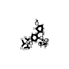 COc1ccc(F)c(-c2ccc(O[Si](C(C)C)(C(C)C)C(C)C)cc2OS(=O)(=O)C(F)(F)F)c1